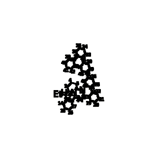 CC/C=C\C=C/C/C(N)=N/C(=N\Cc1ccccc1)c1ccccc1-c1ccc(-c2ccc3c4ccccc4c4ccccc4c3c2)cc1